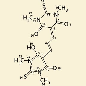 CN1C(=O)C(=CC=Cc2c(O)n(C)c(=S)n(C)c2=O)C(=O)N(C)C1=S